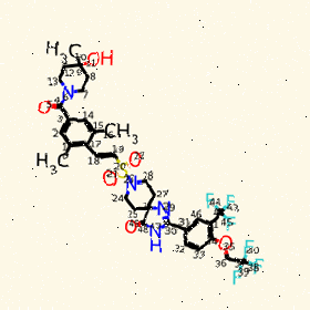 Cc1cc(C(=O)N2CCC(C)(O)CC2)cc(C)c1C=CS(=O)(=O)N1CCC2(CC1)N=C(c1ccc(OCC(F)(F)F)c(C(F)(F)F)c1)NC2=O